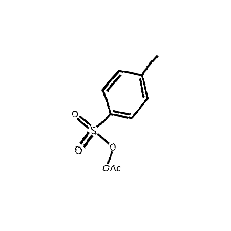 CC(=O)OOS(=O)(=O)c1ccc(C)cc1